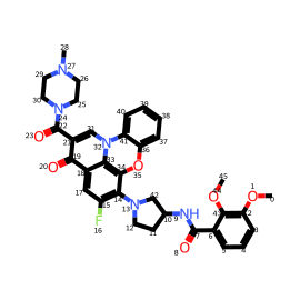 COc1cccc(C(=O)NC2CCN(c3c(F)cc4c(=O)c(C(=O)N5CCN(C)CC5)cn5c4c3Oc3ccccc3-5)C2)c1OC